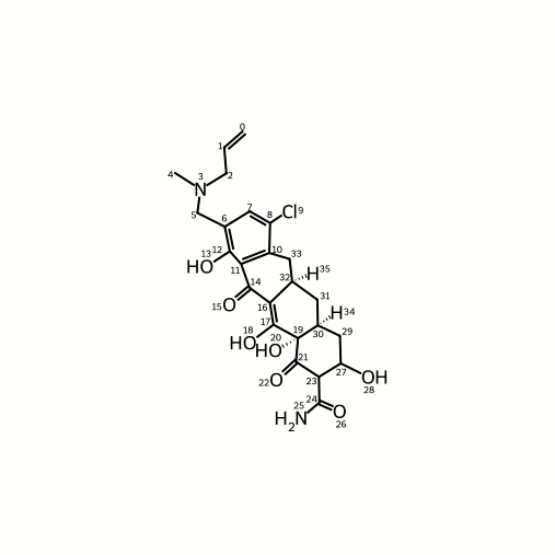 C=CCN(C)Cc1cc(Cl)c2c(c1O)C(=O)C1=C(O)[C@]3(O)C(=O)C(C(N)=O)C(O)C[C@@H]3C[C@@H]1C2